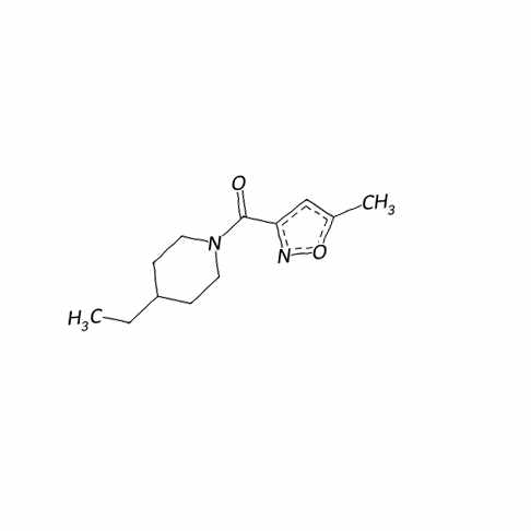 CCC1CCN(C(=O)c2cc(C)on2)CC1